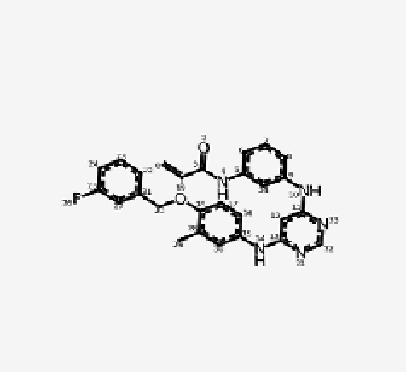 C=CC(=O)Nc1cccc(Nc2cc(Nc3ccc(OCc4cccc(F)c4)c(C)c3)ncn2)c1